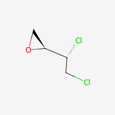 ClC[C@@H](Cl)[C@@H]1CO1